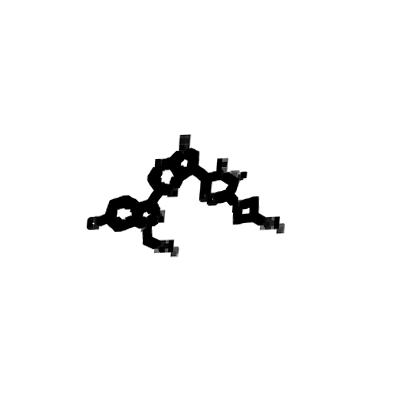 C[C@@H](NC(=O)c1c[nH]c2ncc(-c3nn(CN)c4cc(Cl)ccc34)nc12)C(=O)N1CC(N)C1